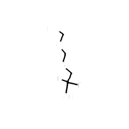 CC(F)(F)COCOCC(F)(F)F